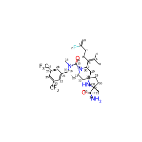 C=C(F)CCC(=C(C)C)[C@H]1C[C@@]2(CCN1C(=O)N(C)[C@H](C)c1cc(C(F)(F)F)cc(C(F)(F)F)c1)CC[C@](C)(C(N)=O)N2